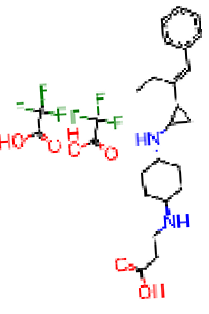 CC/C(=C\c1ccccc1)C1CC1N[C@H]1CC[C@H](NCCC(=O)O)CC1.O=C(O)C(F)(F)F.O=C(O)C(F)(F)F